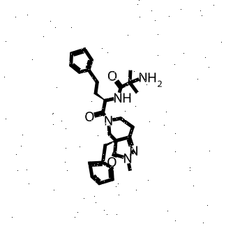 CN1N=C2CCN(C(=O)[C@@H](CCc3ccccc3)NC(=O)C(C)(C)N)C[C@@]2(Cc2ccccc2)C1=O